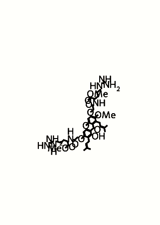 COC(=O)C(CCCNC(=N)N)NC(=O)COc1cc2oc3cc(OCC(=O)NC(CCCNC(=N)N)C(=O)OC)c(OC)c(CC=C(C)C)c3c(=O)c2c(O)c1CC=C(C)C